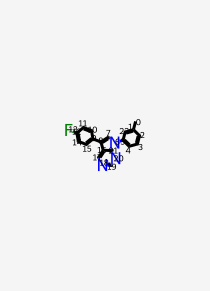 Cc1cccc(-n2cc(-c3ccc(F)cc3)c3cncnc32)c1